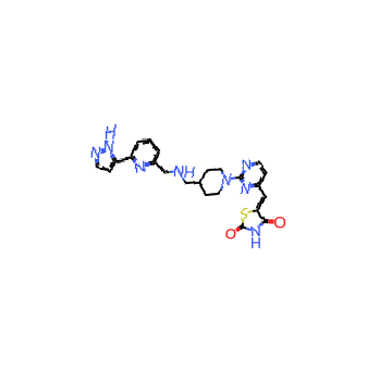 O=C1NC(=O)C(=Cc2ccnc(N3CCC(CNCc4cccc(-c5ccn[nH]5)n4)CC3)n2)S1